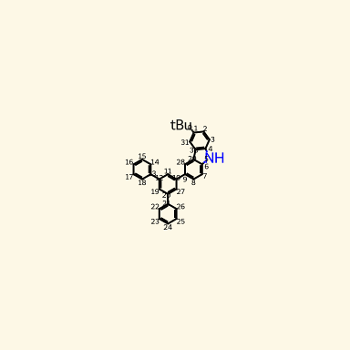 CC(C)(C)c1ccc2[nH]c3ccc(-c4cc(-c5ccccc5)cc(-c5ccccc5)c4)cc3c2c1